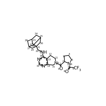 O=C(C1CCCN1C(=O)C(F)(F)F)N1CCc2c(ncnc2NCC23CC4CC(CC(C4)C2)C3)C1